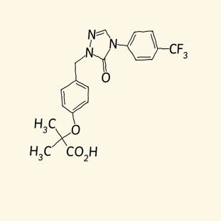 CC(C)(Oc1ccc(Cn2ncn(-c3ccc(C(F)(F)F)cc3)c2=O)cc1)C(=O)O